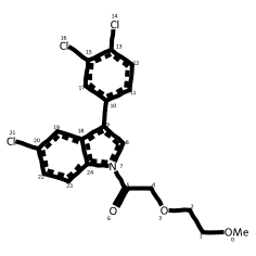 COCCOCC(=O)n1cc(-c2ccc(Cl)c(Cl)c2)c2cc(Cl)ccc21